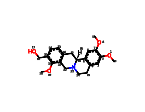 COc1cc2c(cc1OC)[C@@H]1Cc3ccc(CO)c(OC)c3CN1CC2